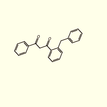 O=C(CC(=O)c1ccccc1Cc1ccccc1)c1ccccc1